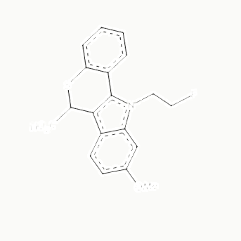 COc1ccc2c3c(n(CCF)c2c1)-c1ccccc1SC3C(=O)O